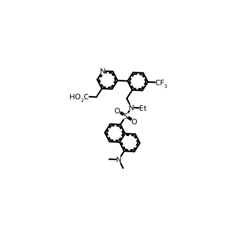 CCN(Cc1cc(C(F)(F)F)ccc1-c1cncc(CC(=O)O)c1)S(=O)(=O)c1cccc2c(N(C)C)cccc12